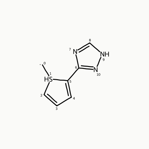 [CH2][SH]1C=CC=C1c1nc[nH]n1